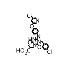 C[C@@H](Cn1c(=O)[nH]/c(=N\c2ccc(Oc3cncc(Cl)c3)cc2)n(Cc2ccc(Cl)cc2)c1=O)C(=O)O